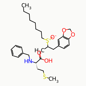 CCCCCCCC[S+]([O-])C(C)Cc1ccc2c(c1)OCO2.CSCC[C@H](NCc1ccccc1)C(=O)O